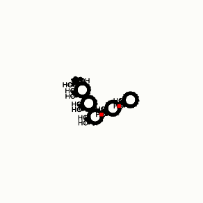 OCC1(CO)CCCCCCCCCCCCCC1.OCC1(CO)CCCCCCCCCCCCCC1.OCC1(CO)CCCCCCCCCCCCCC1.OCC1(CO)CCCCCCCCCCCCCC1.OCC1(CO)CCCCCCCCCCCCCC1.OCC1CCC(CO)C1